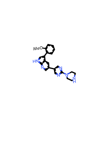 COc1ccccc1-c1c[nH]c2ncc(-c3cnc(N4CCNCC4)nc3)cc12